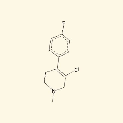 CN1CCC(c2ccc(F)cc2)=C(Cl)C1